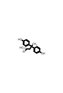 CCC(CC(C)(c1ccc(O)cc1)c1ccc(O)cc1)C(=O)O